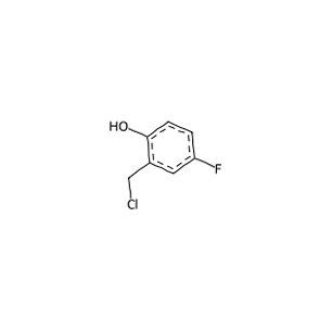 Oc1ccc(F)cc1CCl